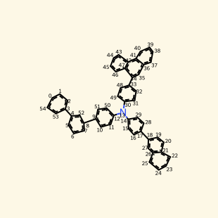 c1ccc(-c2cccc(-c3ccc(N(c4ccc(-c5ccc6ccccc6c5)cc4)c4ccc(-c5cc6ccccc6c6ccccc56)cc4)cc3)c2)cc1